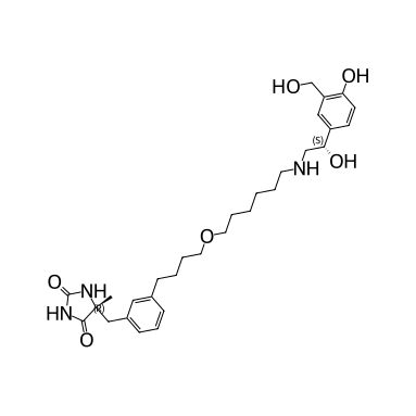 C[C@]1(Cc2cccc(CCCCOCCCCCCNC[C@@H](O)c3ccc(O)c(CO)c3)c2)NC(=O)NC1=O